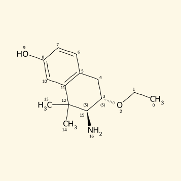 CCO[C@H]1Cc2ccc(O)cc2C(C)(C)[C@@H]1N